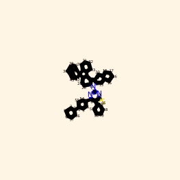 c1ccc(-c2ccc(-c3nc(-n4c5cc6ccccc6cc5c5c6c(ccc54)C4(c5ccccc5-6)C5CC6CC(C5)CC4C6)nc4sc5ccccc5c34)cc2)cc1